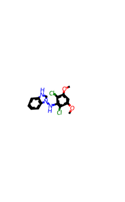 COc1cc(OC)c(Cl)c(NN2CNc3ccccc32)c1Cl